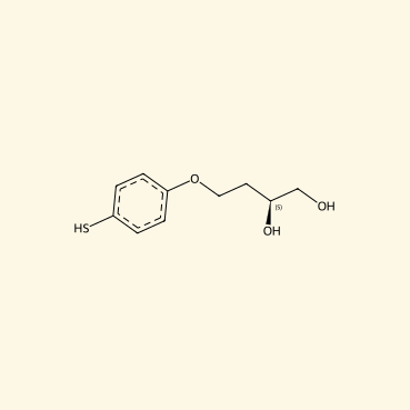 OC[C@@H](O)CCOc1ccc(S)cc1